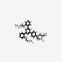 CCOc1ccccc1-c1cc(-c2ccc(N(C)CCCl)cc2)cc(-c2ccccc2OCC)n1